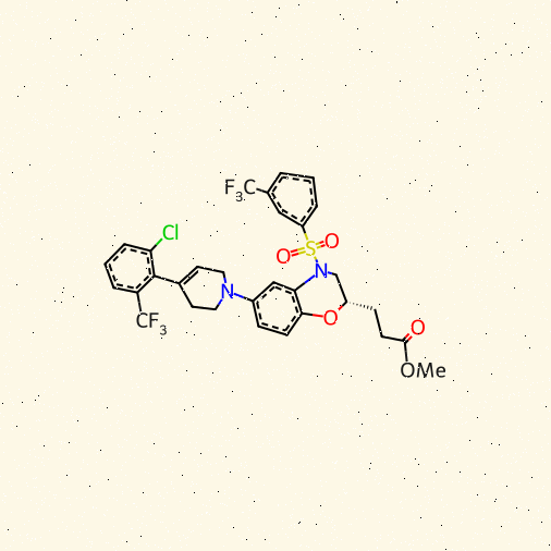 COC(=O)CC[C@H]1CN(S(=O)(=O)c2cccc(C(F)(F)F)c2)c2cc(N3CC=C(c4c(Cl)cccc4C(F)(F)F)CC3)ccc2O1